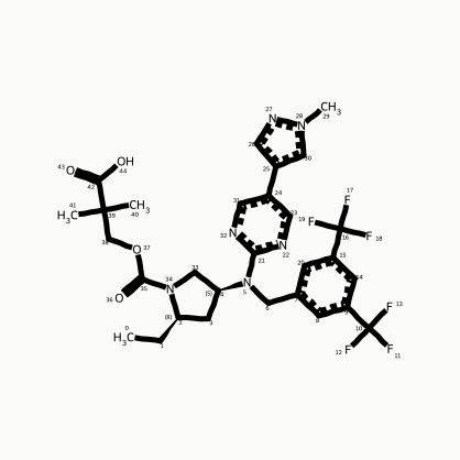 CC[C@@H]1C[C@H](N(Cc2cc(C(F)(F)F)cc(C(F)(F)F)c2)c2ncc(-c3cnn(C)c3)cn2)CN1C(=O)OCC(C)(C)C(=O)O